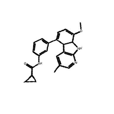 COC1=CC=C(c2cccc(NC(=O)C3CC3)c2)C2c3cc(C)cnc3NC12